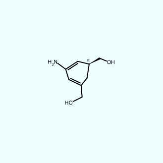 NC1=C[C@@H](CO)CC(CO)=C1